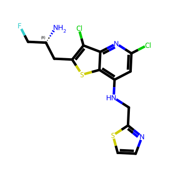 N[C@@H](CF)Cc1sc2c(NCc3nccs3)cc(Cl)nc2c1Cl